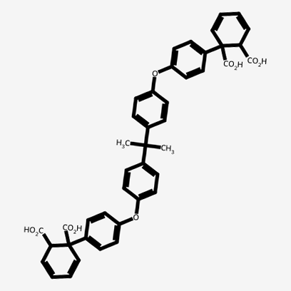 CC(C)(c1ccc(Oc2ccc(C3(C(=O)O)C=CC=CC3C(=O)O)cc2)cc1)c1ccc(Oc2ccc(C3(C(=O)O)C=CC=CC3C(=O)O)cc2)cc1